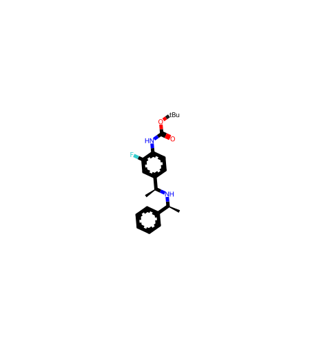 C[C@H](N[C@@H](C)c1ccc(NC(=O)OC(C)(C)C)c(F)c1)c1ccccc1